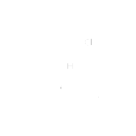 C[CH2][Hf]([Cl])([Cl])[CH2]C